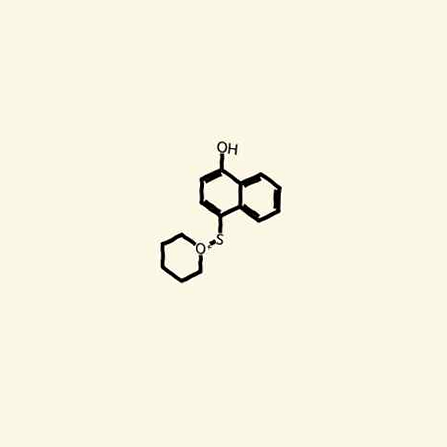 Oc1ccc(S[O+]2CCCCC2)c2ccccc12